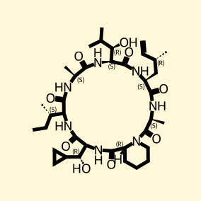 C=C[C@H](C)C[C@@H]1NC(=O)[C@H]([C@H](O)C(C)C)NC(=O)[C@H](C)NC(=O)C([C@@H](C)CC)NC(=O)C([C@H](O)C2CC2)NC(=O)[C@H]2CCCCN2C(=O)[C@H](C)NC1=O